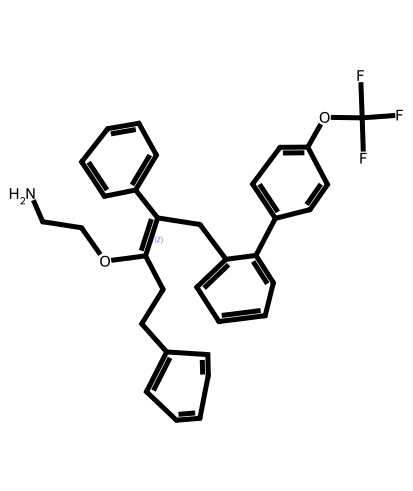 NCCO/C(CCc1ccccc1)=C(/Cc1ccccc1-c1ccc(OC(F)(F)F)cc1)c1ccccc1